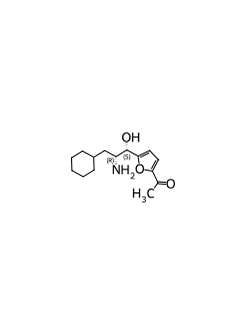 CC(=O)c1ccc([C@@H](O)[C@H](N)CC2CCCCC2)o1